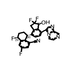 N#Cc1cc(F)cc2c1[C@@H](c1ccc(-c3cnc4cnccn34)c3c1CC(F)(F)[C@H]3O)CC[C@@H]2F